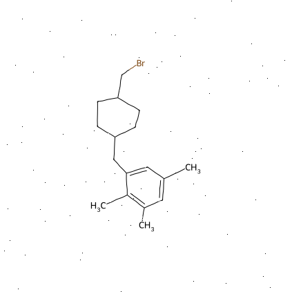 Cc1cc(C)c(C)c(CC2CCC(CBr)CC2)c1